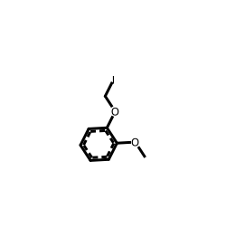 COc1ccccc1OCI